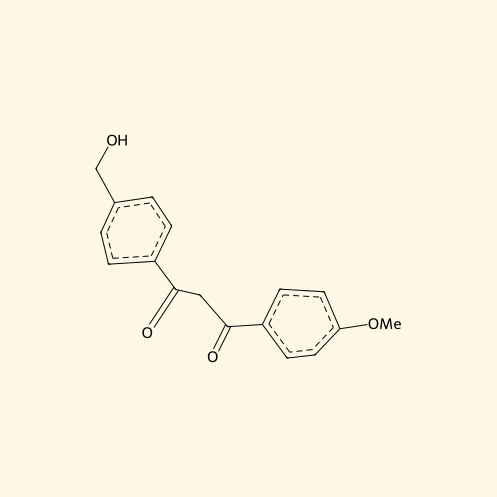 COc1ccc(C(=O)CC(=O)c2ccc(CO)cc2)cc1